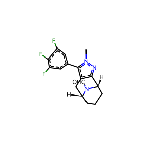 Cn1nc2c(c1-c1cc(F)c(F)c(F)c1)C[C@H]1CCC[C@@H]2N1C=O